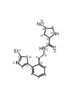 CCc1ncc(-c2ccccc2CCNC(=O)C2CC(O)CN2)s1